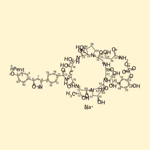 CCCCCOc1ccc(-c2cc(-c3ccc(C(=O)N[C@H]4C[C@@H](O)[C@@H](O)NC(=O)[C@@H]5[C@@H](O)CCN5C(=O)[C@H](C(O)CC(N)=O)NC(=O)[C@H](C(O)C(O)c5ccc(O)c(OS(=O)(=O)[O-])c5)NC(=O)[C@@H]5C[C@@H](O)CN5C(=O)[C@H](C(C)O)NC4=O)cc3)no2)cc1.[Na+]